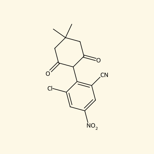 CC1(C)CC(=O)C(c2c(Cl)cc([N+](=O)[O-])cc2C#N)C(=O)C1